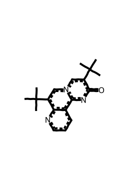 CC(C)(C)c1cn2cc(C(C)(C)C)c3ncccc3c2nc1=O